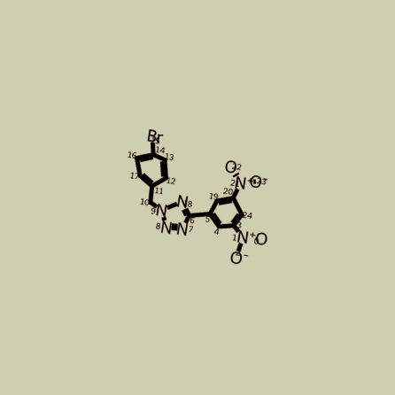 O=[N+]([O-])c1cc(-c2nnn(Cc3ccc(Br)cc3)n2)cc([N+](=O)[O-])c1